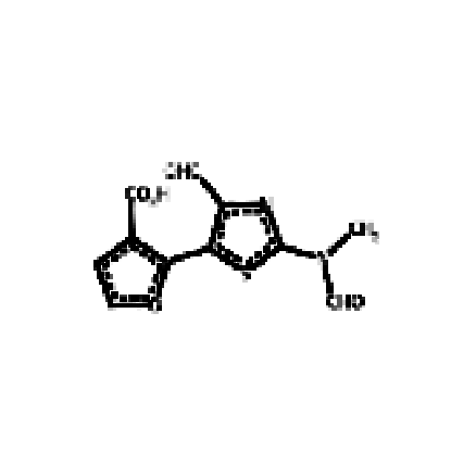 CN(C=O)c1nc(C=O)c(-c2occc2C(=O)O)s1